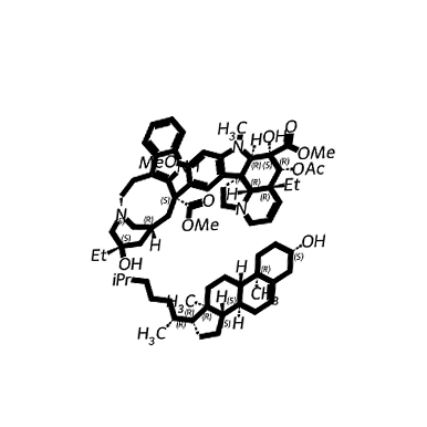 CC(C)CCC[C@@H](C)[C@H]1CC[C@H]2[C@@H]3CC=C4C[C@@H](O)CC[C@]4(C)[C@H]3CC[C@]12C.CC[C@]1(O)C[C@@H]2C[N@@](CCc3c([nH]c4ccccc34)[C@@](C(=O)OC)(c3cc4c(cc3OC)N(C)[C@H]3[C@@](O)(C(=O)OC)[C@H](OC(C)=O)[C@]5(CC)C=CCN6CC[C@]43[C@@H]65)C2)C1